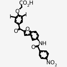 O=C(O)COc1c(I)cc(C(=O)c2cc3cc(NC(=O)c4ccc([N+](=O)[O-])cc4)ccc3o2)cc1I